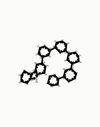 c1ccc(-c2cccc(-c3cccc(-c4cccc(-c5cccc(-c6ccc7sc8ccccc8c7c6)c5)c4)c3)c2)cc1